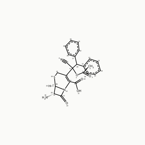 CC(=O)OC(C#N)(C1=C(C(=O)O)N2C(=O)[C@H](N)[C@H]2SC1)C(c1ccccc1)c1ccccc1